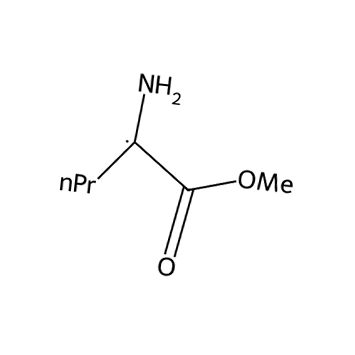 CCC[C](N)C(=O)OC